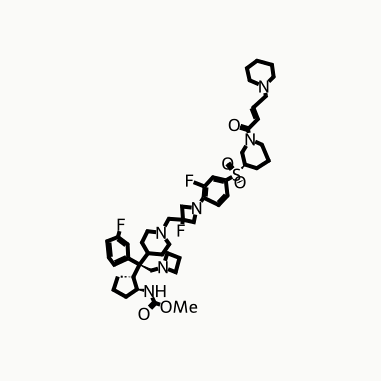 COC(=O)N[C@H]1CCC[C@@H]1[C@](CN1CCC1)(c1cccc(F)c1)C1CCN(CC2(F)CN(c3ccc(S(=O)(=O)[C@H]4CCCN(C(=O)/C=C/CN5CCCCC5)C4)cc3F)C2)CC1